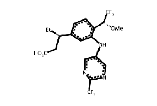 CC[C@H](CC(=O)O)c1ccc([C@@H](OC)C(F)(F)F)c(Nc2cnc(C(F)(F)F)nc2)c1